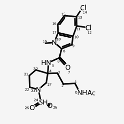 CC(=O)NCCCC1(NC(=O)c2cc3c(Cl)c(Cl)ccc3n2C)CCCN([SH](=O)=O)C1